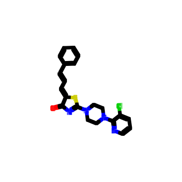 O=C1N=C(N2CCN(c3ncccc3Cl)CC2)SC1=CC=Cc1ccccc1